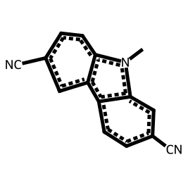 Cn1c2ccc(C#N)cc2c2ccc(C#N)cc21